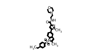 CCc1ccc(S(=O)(=O)n2c(C)cc3cc(-c4cc(C(=O)NCCN5CCOCC5)nn4C)ccc32)cc1